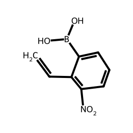 C=Cc1c(B(O)O)cccc1[N+](=O)[O-]